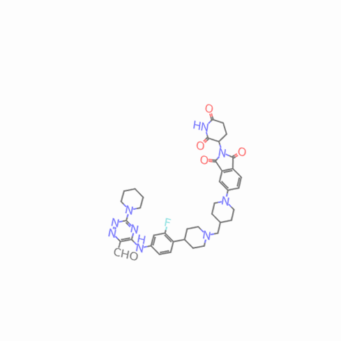 O=Cc1nnc(N2CCCCC2)nc1Nc1ccc(C2CCN(CC3CCN(c4ccc5c(c4)C(=O)N(C4CCC(=O)NC4=O)C5=O)CC3)CC2)c(F)c1